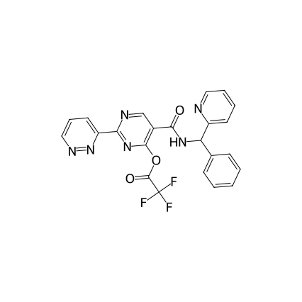 O=C(NC(c1ccccc1)c1ccccn1)c1cnc(-c2cccnn2)nc1OC(=O)C(F)(F)F